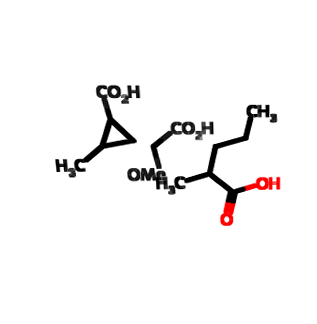 CC1CC1C(=O)O.CCCC(C)C(=O)O.COCC(=O)O